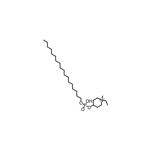 CCCCCCCCCCCCCCCCCCOP(=O)(O)OC1CC[N+](C)(CC)CC1